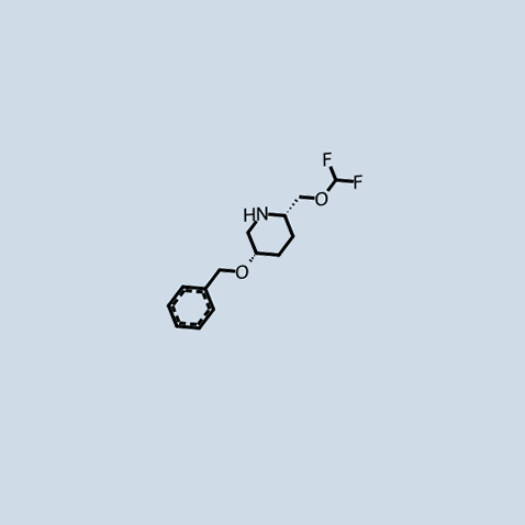 FC(F)OC[C@@H]1CC[C@H](OCc2ccccc2)CN1